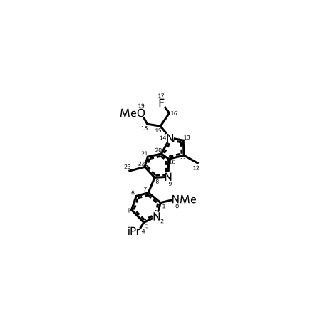 CNc1nc(C(C)C)ccc1-c1nc2c(C)cn(C(CF)COC)c2cc1C